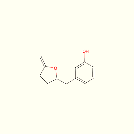 C=C1CCC(Cc2cccc(O)c2)O1